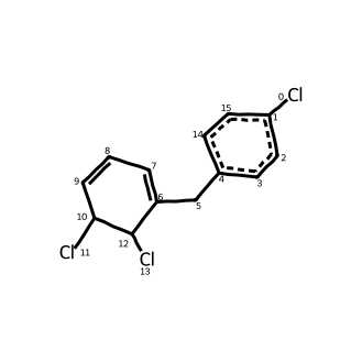 Clc1ccc(CC2=CC=CC(Cl)C2Cl)cc1